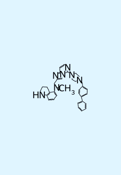 CN(Cc1cn2c(N3CCN(Cc4ccc(-c5ccccc5)cc4)CC3)nccc2n1)c1cccc2c1CCCN2